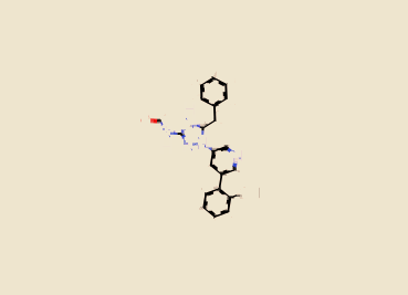 Cc1ccccc1-c1cncc(N2N=C(NC=O)NC2Cc2ccccc2)c1